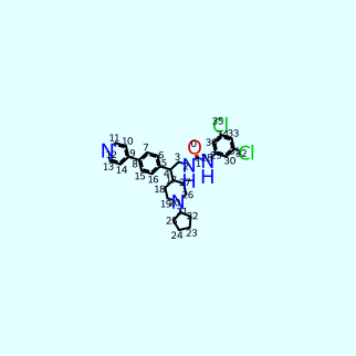 O=C(NCC(c1ccc(-c2ccncc2)cc1)C1CCN(C2CCCC2)CC1)Nc1cc(Cl)cc(Cl)c1